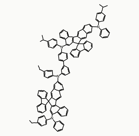 CCc1ccc(N(c2cccc(-c3ccc(N(c4ccc(C(C)C)cc4)c4cc5c(c6ccccc46)-c4cc6ccc(N(c7ccccc7)c7ccc(C(C)C)cc7)cc6cc4C54c5ccccc5-c5ccccc54)cc3)c2)c2ccc3cc4c(cc3c2)C2(c3ccccc3-c3ccccc32)c2cc(N(c3ccccc3)c3ccc(CC)cc3)c3ccccc3c2-4)cc1